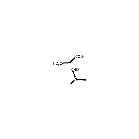 CN(C)C=O.O=C(O)CC(=O)O